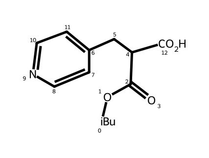 CCC(C)OC(=O)C(Cc1ccncc1)C(=O)O